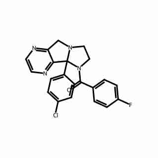 O=C(c1ccc(F)cc1)N1CCN2Cc3nccnc3C21c1ccc(Cl)cc1